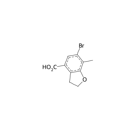 Cc1c(Br)cc(C(=O)O)c2c1OCC2